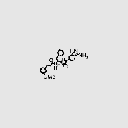 COc1cccc(CCC(=O)NC(Cc2ccccc2)c2nc(-c3ccc4c(N)n[nH]c4c3)c(Cl)[nH]2)c1